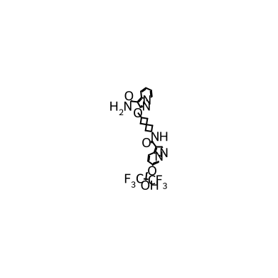 NC(=O)c1c(OC2CC3(CC(NC(=O)c4cnn5cc(OCC(O)(C(F)(F)F)C(F)(F)F)ccc45)C3)C2)nn2ccccc12